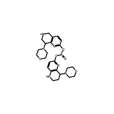 O=[PH](Oc1ccc2c(n1)C(N1CCOCC1)CNC2)Oc1ccc2c(n1)C(N1CCOCC1)CCN2